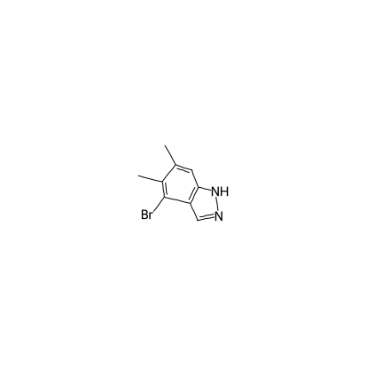 Cc1cc2[nH]ncc2c(Br)c1C